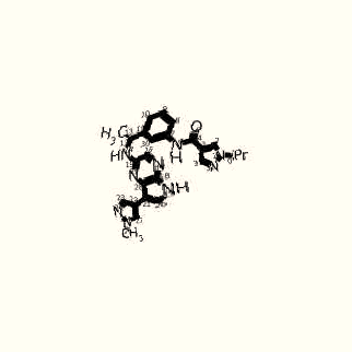 CC(C)n1cc(C(=O)Nc2cccc([C@H](C)Nc3cnc4[nH]cc(-c5cnn(C)c5)c4n3)c2)cn1